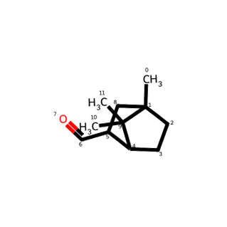 CC12CCC(C(C=O)C1)C2(C)C